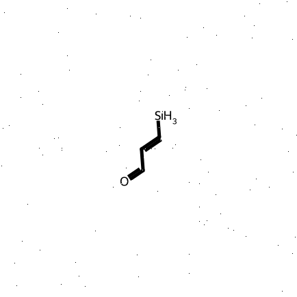 O=CC=C[SiH3]